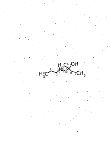 CCC/N=N/C(C)(O)CC